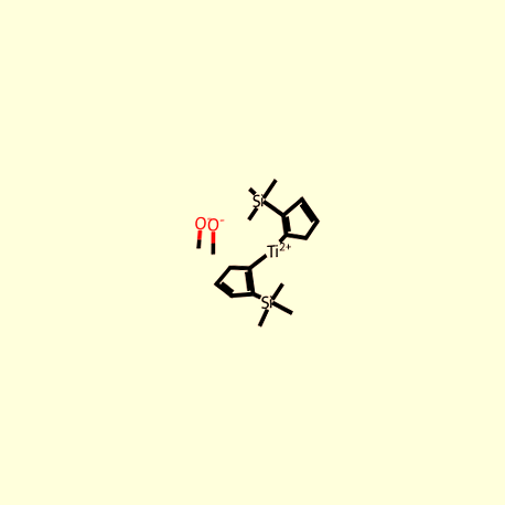 C[O-].C[O-].C[Si](C)(C)C1=[C]([Ti+2][C]2=C([Si](C)(C)C)C=CC2)CC=C1